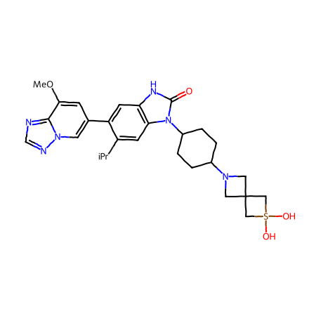 COc1cc(-c2cc3[nH]c(=O)n(C4CCC(N5CC6(C5)CS(O)(O)C6)CC4)c3cc2C(C)C)cn2ncnc12